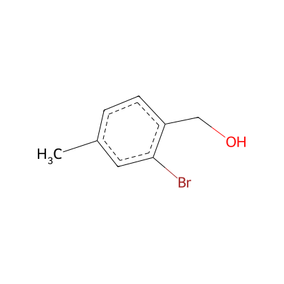 Cc1ccc(CO)c(Br)c1